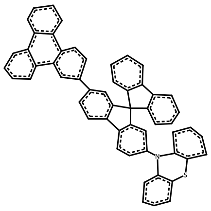 c1ccc2c(c1)Sc1ccccc1N2c1ccc2c(c1)C1(c3ccccc3-c3ccccc31)c1cc(-c3ccc4c5ccccc5c5ccccc5c4c3)ccc1-2